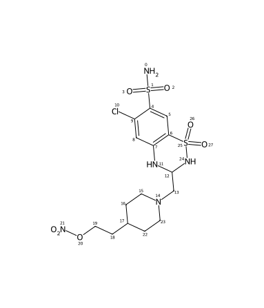 NS(=O)(=O)c1cc2c(cc1Cl)NC(CN1CCC(CCO[N+](=O)[O-])CC1)NS2(=O)=O